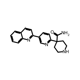 NC(=O)C1(c2ccc(-c3c[c]c4ccccc4n3)cn2)CCNCC1